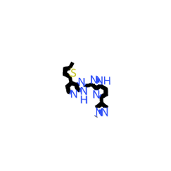 Cc1ccc(-c2ccnc3[nH]c(-c4n[nH]c5ccc(-c6cnn(C)c6)nc45)nc23)s1